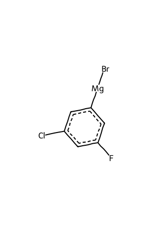 Fc1cc(Cl)c[c]([Mg][Br])c1